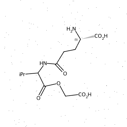 CC(C)C(NC(=O)CC[C@H](N)C(=O)O)C(=O)OCC(=O)O